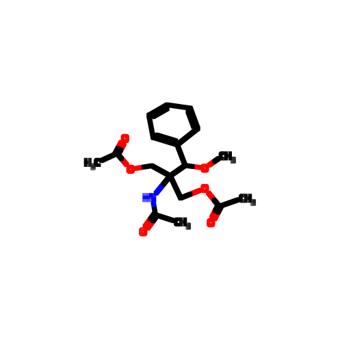 COC(c1ccccc1)C(COC(C)=O)(COC(C)=O)NC(C)=O